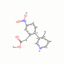 COC(=O)Cc1cc([N+](=O)[O-])ccc1-c1cnccc1C